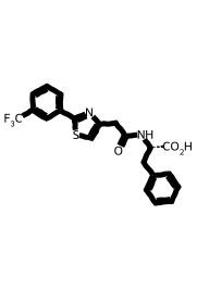 O=C(Cc1csc(-c2cccc(C(F)(F)F)c2)n1)N[C@@H](Cc1ccccc1)C(=O)O